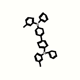 Cc1cccc(N(C2=CC=CCC2)c2ccc(C3=CCC(N(c4ccccc4)c4cccc(C)c4)C=C3)cc2)c1